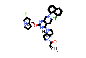 C=CC(=O)N1CC[C@H]2[C@H]1CCN2c1nc(OC[C@@]23CCCN2C[C@H](F)C3)nc2c1CCN(c1cccc3cccc(Cl)c13)C2